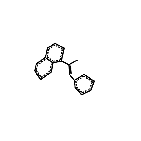 CC(=Cc1ccccc1)c1cccc2ccccc12